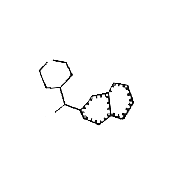 OC(c1ccc2ccccc2c1)C1CCNCC1